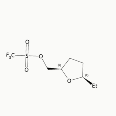 CC[C@@H]1CC[C@H](COS(=O)(=O)C(F)(F)F)O1